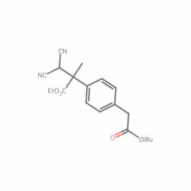 CCOC(=O)C(C)(c1ccc(CC(=O)OCC(C)C)cc1)C(C#N)C#N